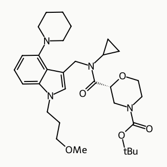 COCCCn1cc(CN(C(=O)[C@H]2CN(C(=O)OC(C)(C)C)CCO2)C2CC2)c2c(N3CCCCC3)cccc21